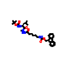 CC(C)C[C@@H](NC(=O)OC(C)(C)C)C(=O)N(C)NC(=O)CCCCCNC(=O)OCC1c2ccccc2-c2ccccc21